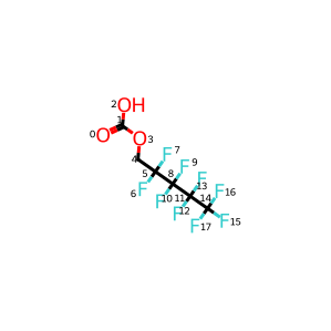 O=C(O)OCC(F)(F)C(F)(F)C(F)(F)C(F)(F)F